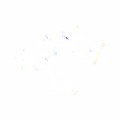 CS(=O)(=O)N1CC[C@@H](Nc2ncc3c(C(F)(F)F)nc(-c4ccc(Cl)cc4)n3n2)[C@H](F)C1